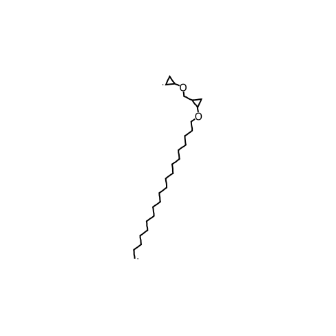 [CH2]CCCCCCCCCCCCCCCCCCCOC1CC1COC1[CH]C1